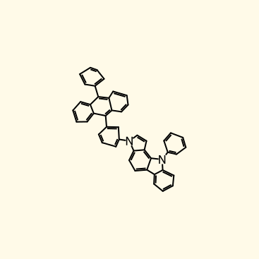 c1ccc(-c2c3ccccc3c(-c3cccc(-n4ccc5c4ccc4c6ccccc6n(-c6ccccc6)c45)c3)c3ccccc23)cc1